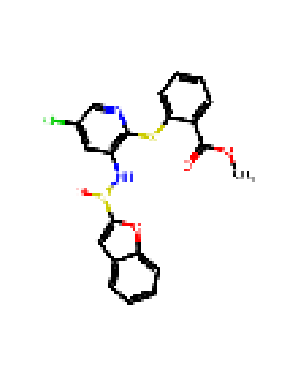 COC(=O)c1ccccc1Sc1ncc(Cl)cc1N[S+]([O-])c1cc2ccccc2o1